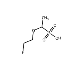 CC(OCCF)S(=O)(=O)O